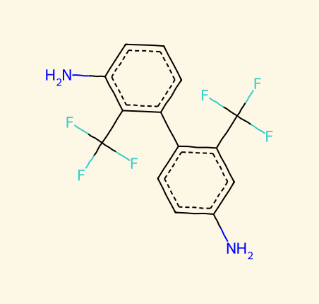 Nc1ccc(-c2cccc(N)c2C(F)(F)F)c(C(F)(F)F)c1